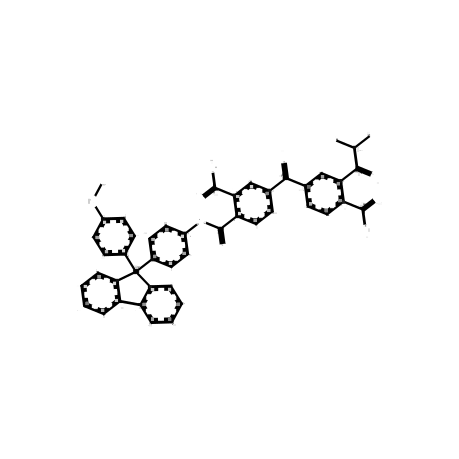 CNc1ccc(C2(c3ccc(NC(=O)c4ccc(C(=O)c5ccc(C(=O)O)c(C(=O)C(C)C)c5)cc4C(=O)O)cc3)c3ccccc3-c3ccccc32)cc1